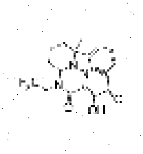 CC1(c2ccccc2)CCCC2N(CC(F)(F)F)C(=O)c3c(O)c(=O)ccn3N21